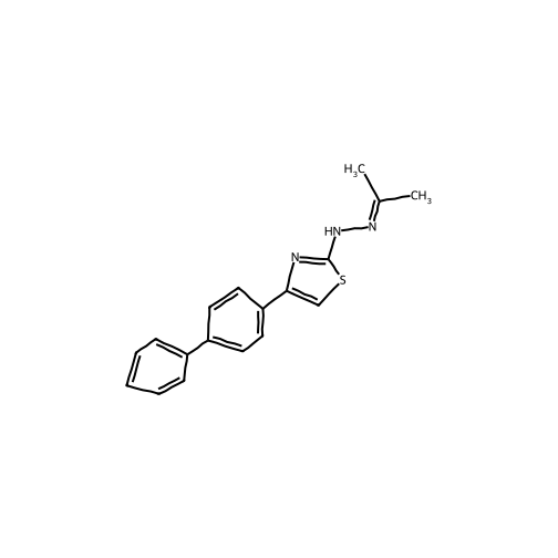 CC(C)=NNc1nc(-c2ccc(-c3ccccc3)cc2)cs1